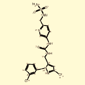 NS(=O)(=O)NCc1ccc(NC(=O)NCc2cc(C(F)(F)F)nn2-c2cccc(Cl)c2)cn1